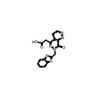 O=C(O)Cc1nn(Cc2nc3ccccc3s2)c(=O)c2nnccc12